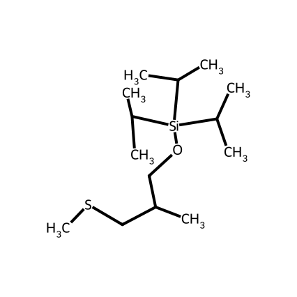 CSCC(C)CO[Si](C(C)C)(C(C)C)C(C)C